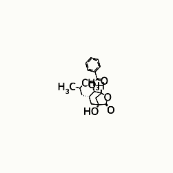 CC(C)C[C@H]1C[C@]2(O)C[C@@H](OC2=O)[C@@H]1OC(=O)c1ccccc1